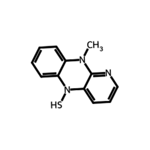 CN1c2ccccc2N(S)c2cccnc21